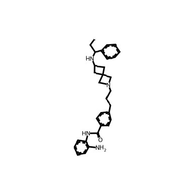 CCC(NC1CC2(C1)CN(CCCc1ccc(C(=O)Nc3ccccc3N)cc1)C2)c1ccccc1